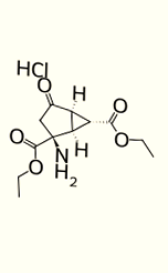 CCOC(=O)[C@H]1[C@@H]2C(=O)C[C@@](N)(C(=O)OCC)[C@@H]21.Cl